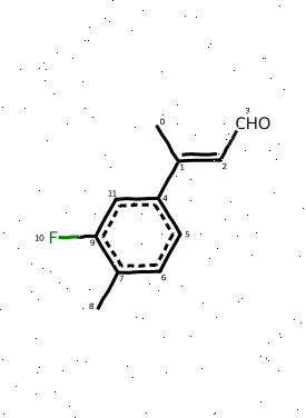 C/C(=C\C=O)c1ccc(C)c(F)c1